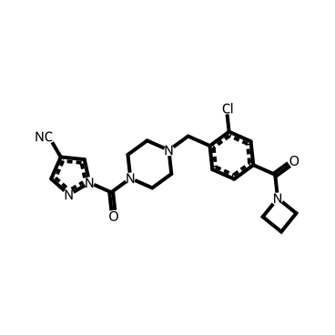 N#Cc1cnn(C(=O)N2CCN(Cc3ccc(C(=O)N4CCC4)cc3Cl)CC2)c1